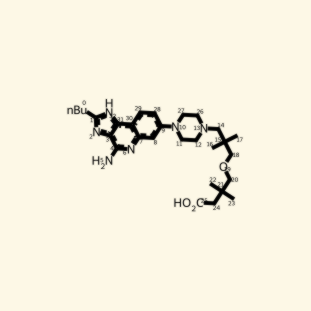 CCCCc1nc2c(N)nc3cc(N4CCN(CC(C)(C)COCC(C)(C)CC(=O)O)CC4)ccc3c2[nH]1